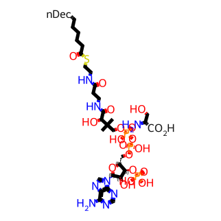 CCCCCCCCCCCCCCCC(=O)SCCNC(=O)CCNC(=O)C(O)C(C)(C)COP(=O)(O)OP(=O)(O)OC[C@H]1O[C@@H](n2cnc3c(N)ncnc32)[C@H](O)[C@@H]1OP(=O)(O)O.NC(CO)C(=O)O